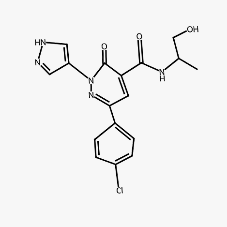 CC(CO)NC(=O)c1cc(-c2ccc(Cl)cc2)nn(-c2cn[nH]c2)c1=O